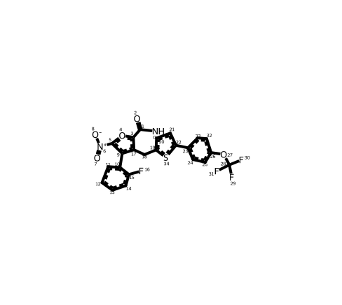 NC(=O)c1oc([N+](=O)[O-])c(-c2ccccc2F)c1Cc1ccc(-c2ccc(OC(F)(F)F)cc2)s1